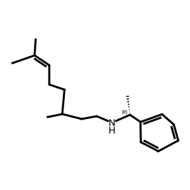 CC(C)=CCCC(C)CCN[C@H](C)c1ccccc1